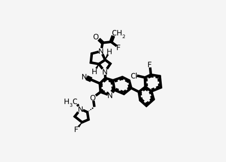 C=C(F)C(=O)N1CC[C@@H]2[C@H]1CN2c1c(C#N)c(OC[C@@H]2C[C@@H](F)CN2C)nc2cc(-c3cccc4ccc(F)c(Cl)c34)ccc12